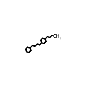 CCCCc1ccc(/C=C/C=C/c2ccccc2)cc1